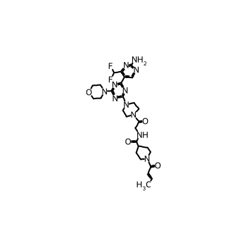 C/C=C/C(=O)N1CCC(C(=O)NCC(=O)N2CCN(c3nc(-c4cnc(N)nc4C(F)F)nc(N4CCOCC4)n3)CC2)CC1